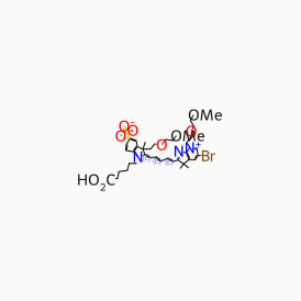 COCCOCC[n+]1cc(Br)cc2c1N=C(/C=C/C=C/C=C1/N(CCCCCC(=O)O)c3ccc(S(=O)(=O)[O-])cc3C1(C)CCOCCOC)C2(C)C